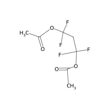 CC(=O)OC(F)(F)CC(F)(F)OC(C)=O